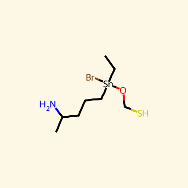 C[CH2][Sn]([Br])([CH2]CCC(C)N)[O]CS